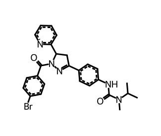 CC(C)N(C)C(=O)Nc1ccc(C2=NN(C(=O)c3ccc(Br)cc3)C(c3ccccn3)C2)cc1